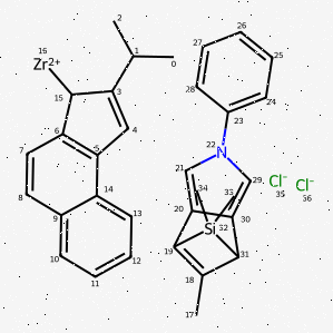 CC(C)C1=Cc2c(ccc3ccccc23)[CH]1[Zr+2].CC1=C2c3cn(-c4ccccc4)cc3C1[Si]2(C)C.[Cl-].[Cl-]